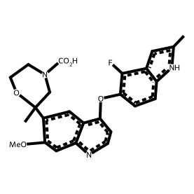 COc1cc2nccc(Oc3ccc4[nH]c(C)cc4c3F)c2cc1C1(C)CN(C(=O)O)CCO1